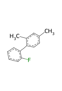 Cc1ccc(-c2ccccc2F)c(C)c1